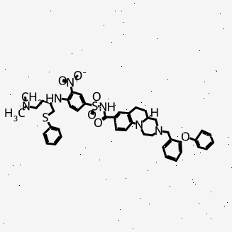 CN(C)CC[C@H](CSc1ccccc1)Nc1ccc(S(=O)(=O)NC(=O)c2ccc3c(c2)CC[C@H]2CN(Cc4ccccc4Oc4ccccc4)CCN32)cc1[N+](=O)[O-]